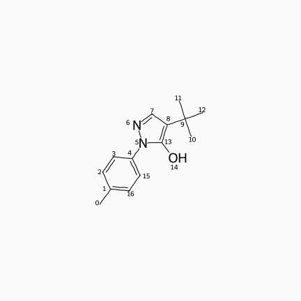 Cc1ccc(-n2ncc(C(C)(C)C)c2O)cc1